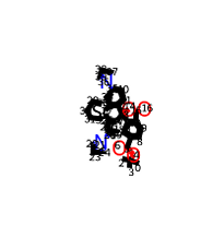 CC(C)(C)OC(=O)c1ccc2c(c1)C1(OC2=O)c2ccc(N3CCC3)cc2[Si]2(CCCCC2)c2cc(N3CCC3)ccc21